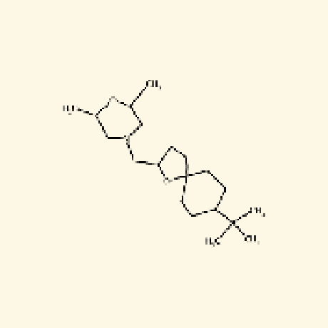 CC1CN(CC2CCC3(CCC(C(C)(C)C)CC3)O2)CC(C)O1